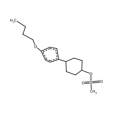 CCCCOc1ccc(C2CCC(OS(C)(=O)=O)CC2)cc1